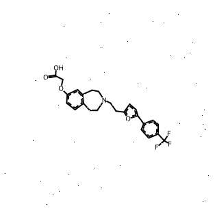 O=C(O)COc1ccc2c(c1)CCN(CCc1ccc(-c3ccc(C(F)(F)F)cc3)o1)CC2